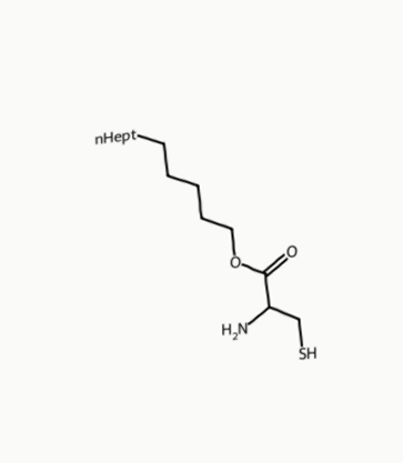 CCCCCCCCCCCCOC(=O)C(N)CS